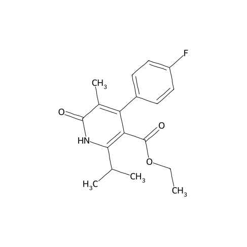 CCOC(=O)c1c(C(C)C)[nH]c(=O)c(C)c1-c1ccc(F)cc1